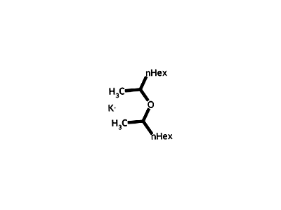 CCCCCCC(C)OC(C)CCCCCC.[K]